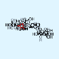 C=C1CC23CCC4[C@](C)(C(=O)OC5OC6(CO)C(O)C(O)C56OC5OC(CO)C(O)C(O)C5O)CCC[C@@]4(C)[C@@H]2CCC1(OC1OC(CO)C(O)C(OC2OC(COC4OC(CO)C(O)C(O)C4O)C(O)C(O)C2O)C1OC1OC(CO)C(O)C(O)C1O)C3